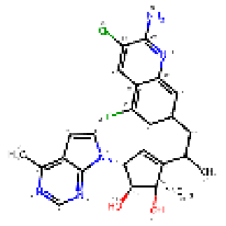 Cc1ncnc2c1ccn2[C@@H]1C=C(C(C)CC2C=c3nc(N)c(Cl)cc3=C(F)C2)[C@@](C)(O)[C@H]1O